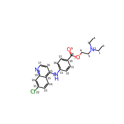 CCN(CC)CCOC(=O)c1ccc(Nc2ccnc3cc(Cl)ccc23)cc1